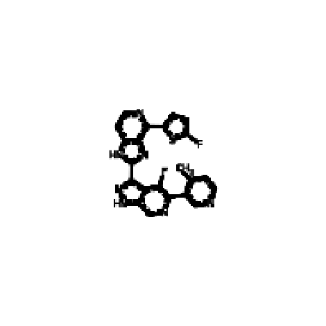 Cc1ccncc1-c1ncc2[nH]nc(-c3nc4c(-c5ccc(F)s5)nccc4[nH]3)c2c1F